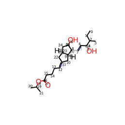 CCC(C)[C@H](O)/C=C/[C@@H]1[C@H]2C/C(=C/CCCC(=O)OC(C)C)C[C@H]2C[C@H]1O